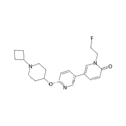 O=c1ccc(-c2ccc(OC3CCN(C4CCC4)CC3)nc2)cn1CCF